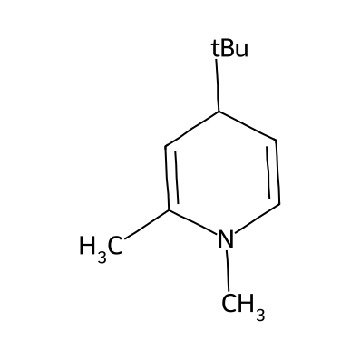 CC1=CC(C(C)(C)C)C=CN1C